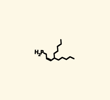 CCCCCC(/C=C\CP)CCCCC